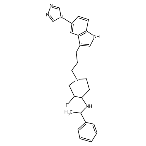 CC(NC1CCN(CCCc2c[nH]c3ccc(-n4cnnc4)cc23)CC1F)c1ccccc1